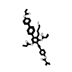 C=CC(=O)Oc1ccc(-c2ccc(-c3cc(OC(=O)C=C)c(C#Cc4ccc(OC(=O)C(=C)C)cc4)c(OC(=O)C=C)c3CCCF)cc2)cc1